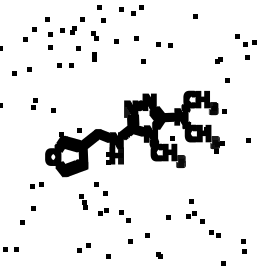 CN(C)c1nnc(NCc2ccoc2)n1C